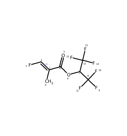 C/C(=C\F)C(=O)OC(C(F)(F)F)C(F)(F)F